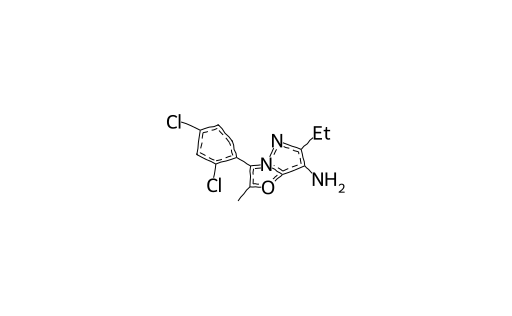 CCc1nn2c(-c3ccc(Cl)cc3Cl)c(C)oc2c1N